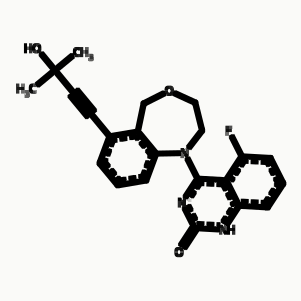 CC(C)(O)C#Cc1cccc2c1COCCN2c1nc(=O)[nH]c2cccc(F)c12